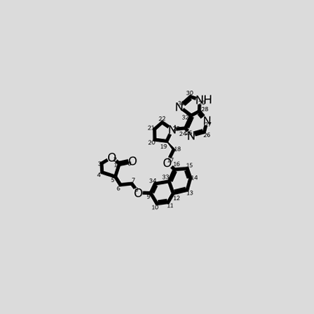 O=C1OCCC1CCOc1ccc2cccc(OC[C@H]3CCCN3c3ncnc4[nH]cnc34)c2c1